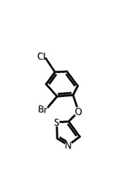 Clc1ccc(Oc2cncs2)c(Br)c1